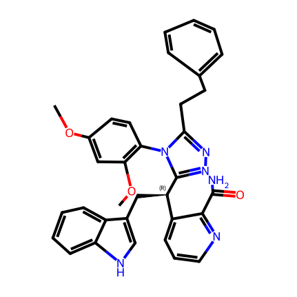 COc1ccc(-n2c(CCc3ccccc3)nnc2[C@H](Cc2c[nH]c3ccccc23)c2cccnc2C(N)=O)c(OC)c1